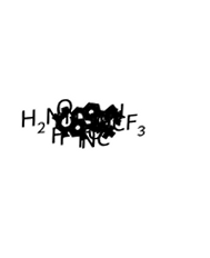 CC(C)(C#N)c1nnc(-c2cc3c(cc2F)C(F)(F)CC(N)C(=O)N3Cc2ccc(-c3cnn(C(F)(F)F)c3)cc2)o1